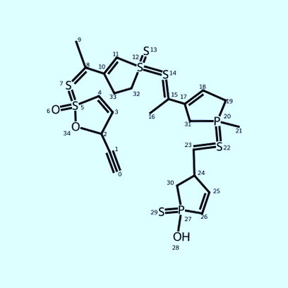 C#CC1C=CS(=O)(=S=C(C)C2=CS(=S)(=S=C(C)C3=CCP(C)(=S=CC4C=CP(O)(=S)C4)C3)CC2)O1